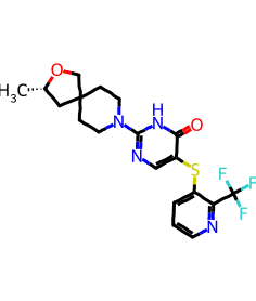 C[C@H]1CC2(CCN(c3ncc(Sc4cccnc4C(F)(F)F)c(=O)[nH]3)CC2)CO1